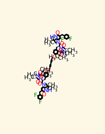 CC[C@@H](C(=O)N[C@@H](Cc1ccc(OCC#CC#CCOc2ccc(C[C@H](NC(=O)[C@H](CC)N(C)C(=O)OC(C)(C)C)C(=O)N3CC(C)(C)c4[nH]c(=O)c(Cc5ccc(F)cc5F)cc43)cc2)cc1)C(=O)N1CC(C)(C)c2[nH]c(=O)c(Cc3ccc(F)cc3F)cc21)N(C)C(=O)OC(C)(C)C